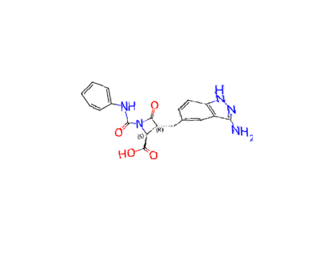 Nc1n[nH]c2ccc(C[C@H]3C(=O)N(C(=O)Nc4ccccc4)[C@@H]3C(=O)O)cc12